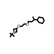 CC(CCOCCOC1CN(C(C)(C)C)C1)C1CCCCC1